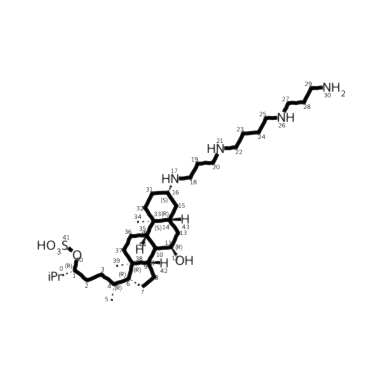 CC(C)[C@@H](CC[C@@H](C)[C@H]1CC[C@H]2C3[C@H](O)C[C@H]4C[C@@H](NCCCNCCCCNCCCN)CC[C@]4(C)[C@H]3CC[C@]12C)OS(=O)(=O)O